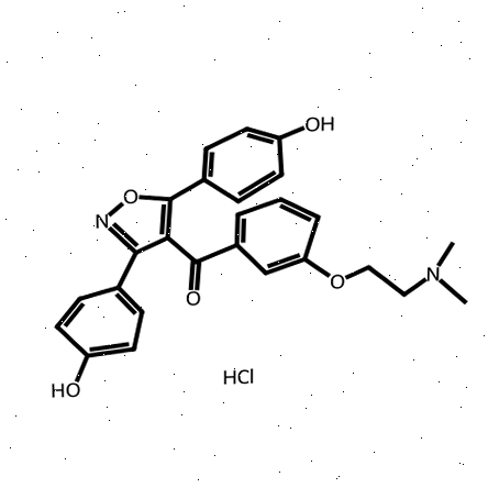 CN(C)CCOc1cccc(C(=O)c2c(-c3ccc(O)cc3)noc2-c2ccc(O)cc2)c1.Cl